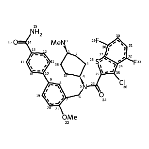 CN[C@H]1CC[C@@H](N(Cc2cc(-c3ccc(C(N)=O)cc3)ccc2OC)C(=O)c2sc3c(F)ccc(F)c3c2Cl)CC1